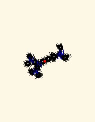 Cc1cccc(-c2cc(-c3cc(C)c(-c4ccc(-c5ccc(-n6c7ccc(N(c8ccccc8)c8ccccc8)cc7c7cc(N(c8ccccc8)c8ccccc8)ccc76)cc5)cc4)c(C)c3)nc(-c3cccc(C)c3)n2)c1